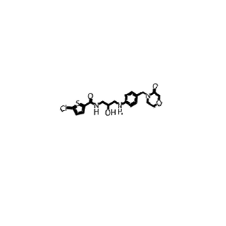 O=C(NCC(O)CNc1ccc(CN2CCOCC2=O)cc1)c1ccc(Cl)s1